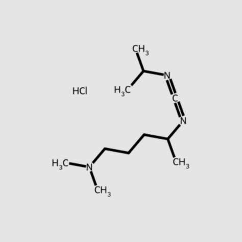 CC(C)N=C=NC(C)CCCN(C)C.Cl